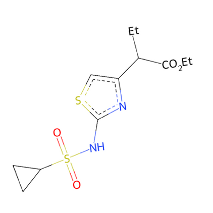 CCOC(=O)C(CC)c1csc(NS(=O)(=O)C2CC2)n1